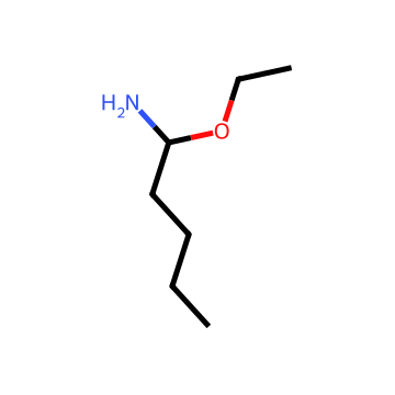 CCCCC(N)OCC